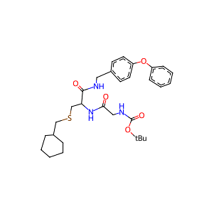 CC(C)(C)OC(=O)NCC(=O)NC(CSCC1CCCCC1)C(=O)NCc1ccc(Oc2ccccc2)cc1